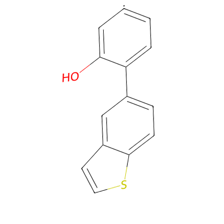 Oc1c[c]ccc1-c1ccc2sccc2c1